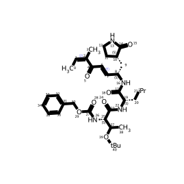 C/C=C(/C)C(=O)/C=C/[C@H](C[C@@H]1CCNC1=O)NC(=O)[C@H](CC(C)C)NC(=O)[C@@H](NC(=O)OCc1ccccc1)C(C)OC(C)(C)C